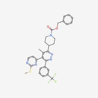 CSc1nccc(-c2c(-c3cccc(C(F)(F)F)c3)nnc(C3CCN(C(=O)OCc4ccccc4)CC3)c2C)n1